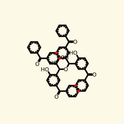 O=C(c1ccccc1)c1ccc(O)c(C(OC(c2cc(C(=O)c3ccccc3)ccc2O)c2cc(C(=O)c3ccccc3)ccc2O)c2cc(C(=O)c3ccccc3)ccc2O)c1